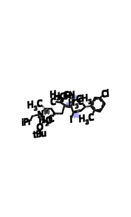 C=C(C/C(C(=C)C)=C(C(/C)=N\C)\C(I)=C/C(C)c1cc(Cl)ccc1C)C[C@@H](C)N(CC(C)C)C(=O)OC(C)(C)C